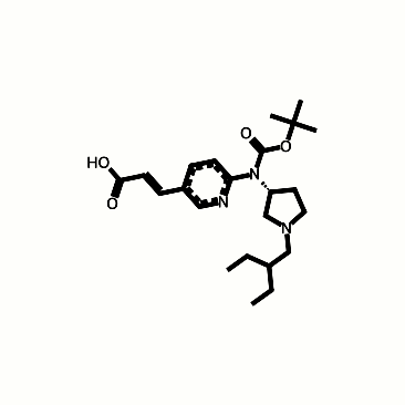 CCC(CC)CN1CC[C@@H](N(C(=O)OC(C)(C)C)c2ccc(C=CC(=O)O)cn2)C1